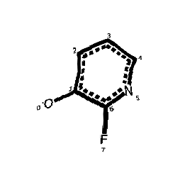 [O]c1cccnc1F